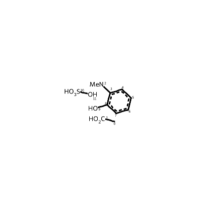 CC(=O)O.CNc1ccccc1O.O=S(=O)(O)O